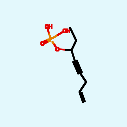 C=CCC#CC(CC)OP(=O)(O)O